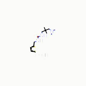 CN(C)CC(C)(C)CNC(=O)NCc1ccc(C(=O)O)s1